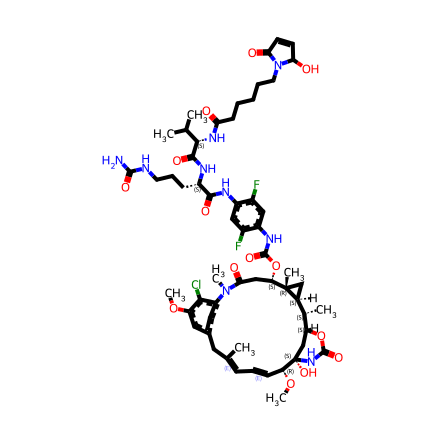 COc1cc2cc(c1Cl)N(C)C(=O)C[C@H](OC(=O)Nc1cc(F)c(NC(=O)[C@H](CCCNC(N)=O)NC(=O)[C@@H](NC(=O)CCCCCN3C(=O)C=CC3O)C(C)C)cc1F)[C@]1(C)C[C@H]1[C@H](C)[C@@H]1C[C@@](O)(NC(=O)O1)[C@H](OC)/C=C/C=C(\C)C2